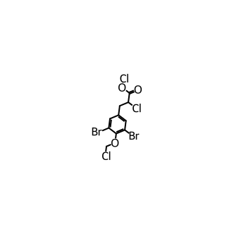 O=C(OCl)C(Cl)Cc1cc(Br)c(OCCl)c(Br)c1